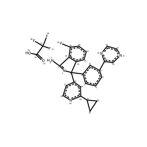 NC1=NC(c2cccc(-c3cnccn3)c2)(c2ccnc(C3CC3)c2)c2cccc(F)c21.O=C(O)C(F)(F)F